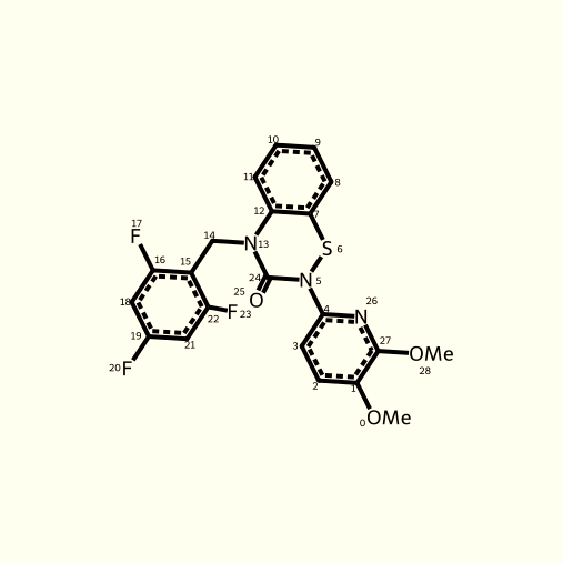 COc1ccc(N2Sc3ccccc3N(Cc3c(F)cc(F)cc3F)C2=O)nc1OC